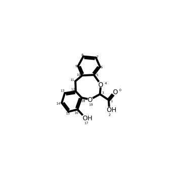 O=C(O)C1Oc2ccccc2Cc2cccc(O)c2O1